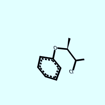 CC(Cl)[C@H](C)Oc1ccccc1